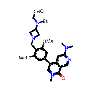 CCN(CC=O)C1CN(Cc2c(OC)cc(-c3cn(C)c(=O)c4cnc(N(C)C)cc34)cc2OC)C1